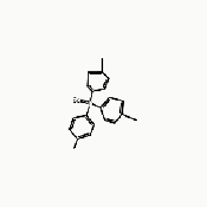 Cc1ccc(P(=[Se])(c2ccc(C)cc2)c2ccc(C)cc2)cc1